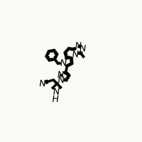 Cc1nnc2ccc3c(cc(-c4ccn(C5(CC#N)CNC5)n4)n3Cc3ccccc3)n12